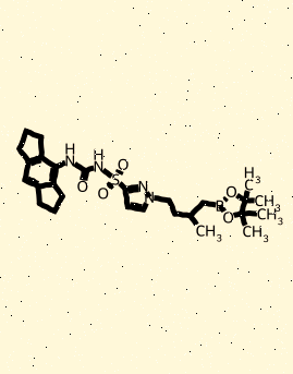 CC(CCn1ccc(S(=O)(=O)NC(=O)Nc2c3c(cc4c2CCC4)CCC3)n1)CB1OC(C)(C)C(C)(C)O1